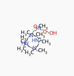 C=Cc1c(C)c2cc3nc(c(C)c4cc(C)c(cc5nc(cc1[nH]2)C(C)=C5CC)[nH]4)C(CCC(=O)N(C)CCOCCO)=C3C